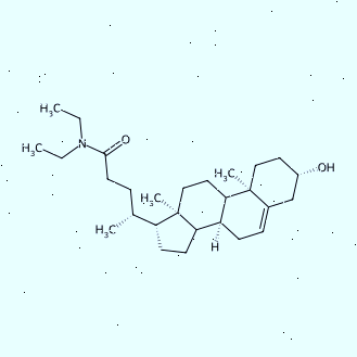 CCN(CC)C(=O)CC[C@@H](C)[C@H]1CCC2[C@@H]3CC=C4C[C@@H](O)CC[C@]4(C)C3CC[C@@]21C